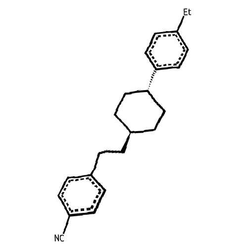 CCc1ccc([C@H]2CC[C@H](CCc3ccc(C#N)cc3)CC2)cc1